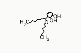 CCCCCCCC(OCCCCCC)c1cccc(O)c1O